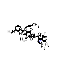 C=C/C(=C(\C=C/N)C(=O)NOn1c(=O)c2c(n(C)c1=O)NC(N1CCCC(N)C1)N2CC#CC)C(F)(F)F